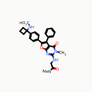 CNC(=O)CNc1nc2oc(-c3ccc(C4(NC(=O)O)CCC4)cc3)c(-c3ccccc3)c2c(=O)n1C